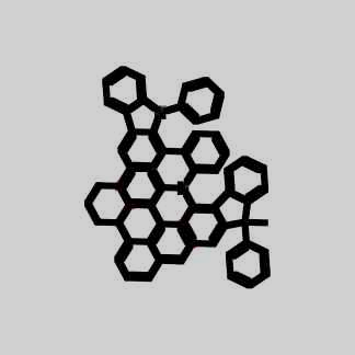 CC1(c2ccccc2)c2ccccc2-c2c(N(c3ccccc3-c3cccc4cccc(C5CCCCC5)c34)c3ccccc3-c3cccc4c5ccccc5n(-c5ccccc5)c34)cccc21